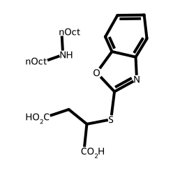 CCCCCCCCNCCCCCCCC.O=C(O)CC(Sc1nc2ccccc2o1)C(=O)O